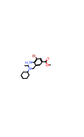 CCN(Cc1cc(C(=O)OC)cc(Br)c1N)C1CCCCC1